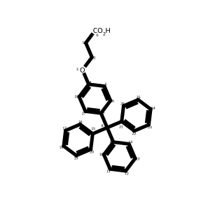 O=C(O)CCOc1ccc(C(c2ccccc2)(c2ccccc2)c2ccccc2)cc1